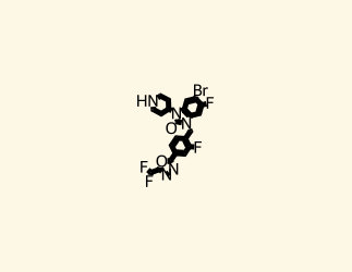 O=c1n(Cc2ccc(-c3nnc(C(F)F)o3)cc2F)c2cc(F)c(Br)cc2n1C1CCNCC1